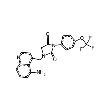 Nc1cccc2nccc(CN3CC(=O)N(c4ccc(OC(F)(F)F)cc4)C3=O)c12